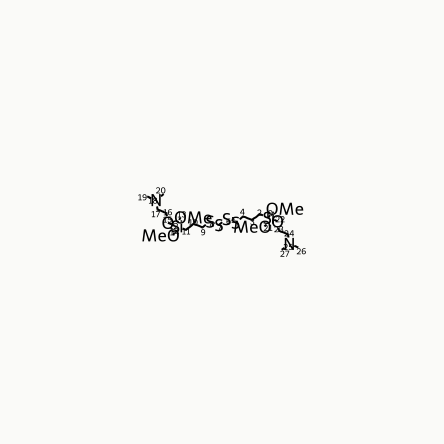 CO[Si](CCCSSSSCCC[Si](OC)(OC)OCCN(C)C)(OC)OCCN(C)C